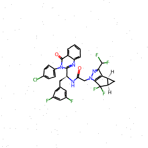 O=C(Cn1nc(C(F)F)c2c1C(F)(F)[C@@H]1C[C@H]21)N[C@@H](Cc1cc(F)cc(F)c1)c1nc2ccccc2c(=O)n1-c1ccc(Cl)cc1